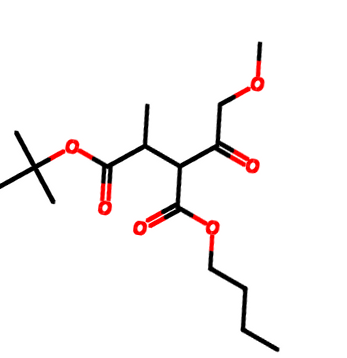 CCCCOC(=O)C(C(=O)COC)C(C)C(=O)OC(C)(C)C